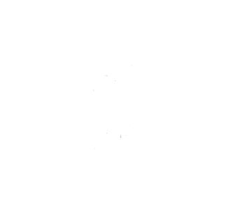 [CH2]CCC(C(=O)OC)(C(=O)OC)C(CCCC)(C(=O)OC)C(=O)OC